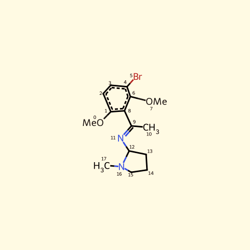 COc1ccc(Br)c(OC)c1/C(C)=N/C1CCCN1C